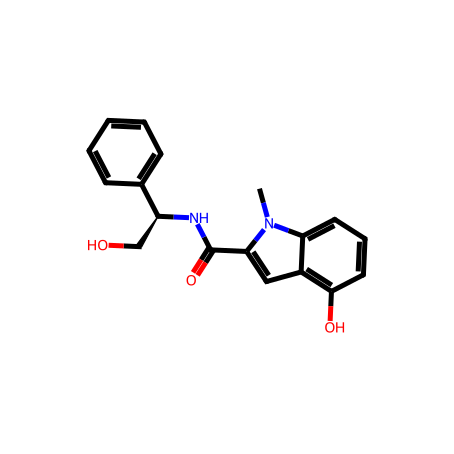 Cn1c(C(=O)N[C@@H](CO)c2ccccc2)cc2c(O)cccc21